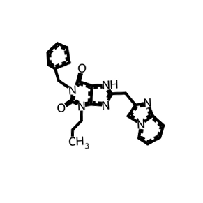 CCCn1c(=O)n(Cc2ccccc2)c(=O)c2[nH]c(Cc3cn4ccccc4n3)nc21